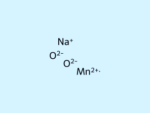 [Mn+2].[Na+].[O-2].[O-2]